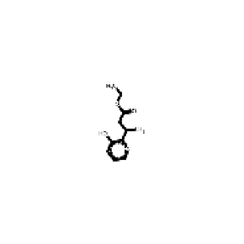 CCOC(=O)CC(C)c1ncccc1O